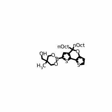 CCCCCCCCC1(CCCCCCCC)Oc2ccsc2-c2sc(B3OCC(C)(CO)CO3)cc21